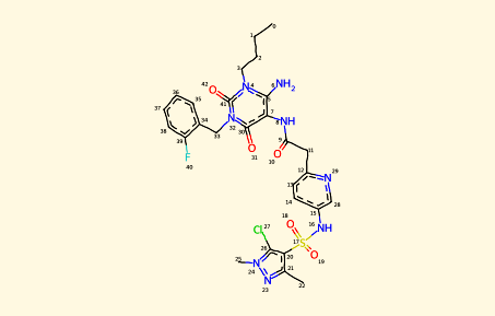 CCCCn1c(N)c(NC(=O)Cc2ccc(NS(=O)(=O)c3c(C)nn(C)c3Cl)cn2)c(=O)n(Cc2ccccc2F)c1=O